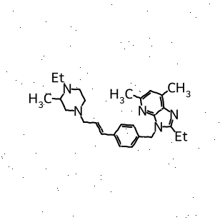 CCc1nc2c(C)cc(C)nc2n1Cc1ccc(C=CCN2CCN(CC)C(C)C2)cc1